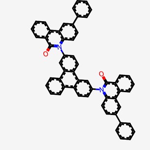 O=c1c2ccccc2c2cc(-c3ccccc3)ccc2n1-c1ccc2c(c1)c1ccccc1c1ccc(-n3c(=O)c4ccccc4c4cc(-c5ccccc5)ccc43)cc12